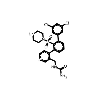 NC(=O)NCc1cnccc1-c1cccc(-c2cc(Cl)cc(Cl)c2)c1S(=O)(=O)N1CCNCC1